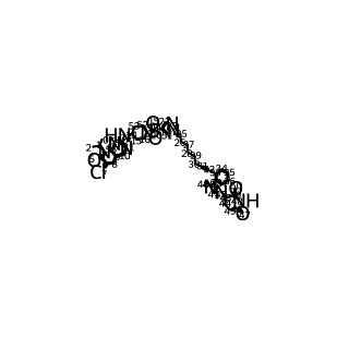 CC(C)n1c(=O)c(Cl)cc2cnc(NC3CCN(S(=O)(=O)c4cnn(CCCCCCC#Cc5cccc6c5N(C)CN6C5CCC(=O)NC5=O)c4)CC3)nc21